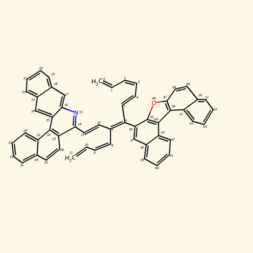 C=C\C=C/C=C/C(=C(/C=C\C=C)\C=C\c1nc2cc3ccccc3cc2c2c1ccc1ccccc12)c1cc2ccccc2c2c1oc1ccc3ccccc3c12